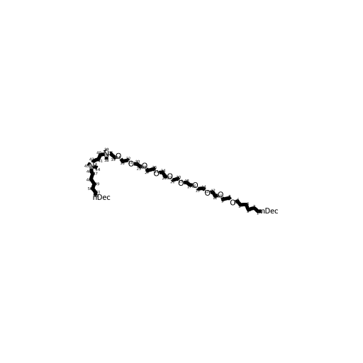 CCCCCCCCCCCCCCCCOCCOCCOCCOCCOCCOCCOCCOCCOCCOCC[N+](C)(C)CCC[N+](C)(C)CCCCCCCCCCCCCCCC